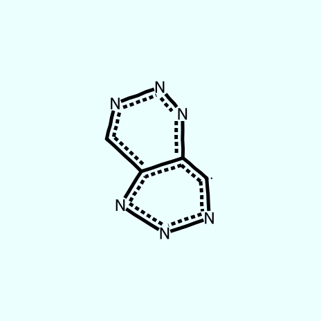 [c]1nnnc2cnnnc12